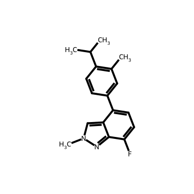 Cc1cc(-c2ccc(F)c3nn(C)cc23)ccc1C(C)C